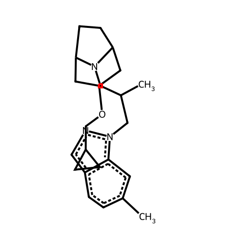 Cc1ccc2cnn(CC(C)CN3C4CCC3CC(OCC3CC3)C4)c2c1